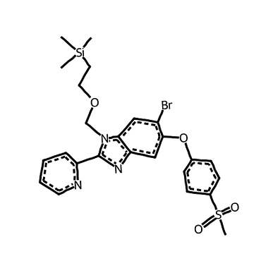 C[Si](C)(C)CCOCn1c(-c2ccccn2)nc2cc(Oc3ccc(S(C)(=O)=O)cc3)c(Br)cc21